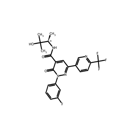 C[C@@H](NC(=O)c1cc(-c2ccc(C(F)(F)F)nc2)nn(-c2cccc(F)c2)c1=O)C(C)(C)O